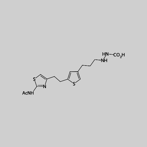 CC(=O)Nc1nc(CCc2cc(CCCNNC(=O)O)cs2)cs1